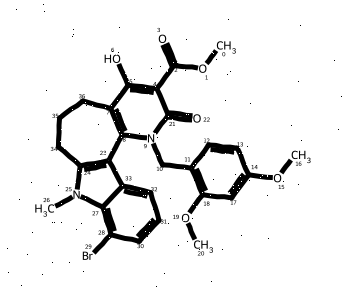 COC(=O)c1c(O)c2c(n(Cc3ccc(OC)cc3OC)c1=O)-c1c(n(C)c3c(Br)cccc13)CCC2